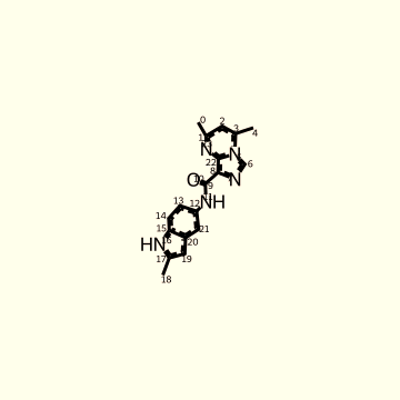 Cc1cc(C)n2cnc(C(=O)Nc3ccc4[nH]c(C)cc4c3)c2n1